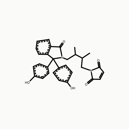 CC(CN1C(=O)C=CC1=O)C(C)CN1C(=O)c2ccccc2C1(c1ccc(O)cc1)c1ccc(O)cc1